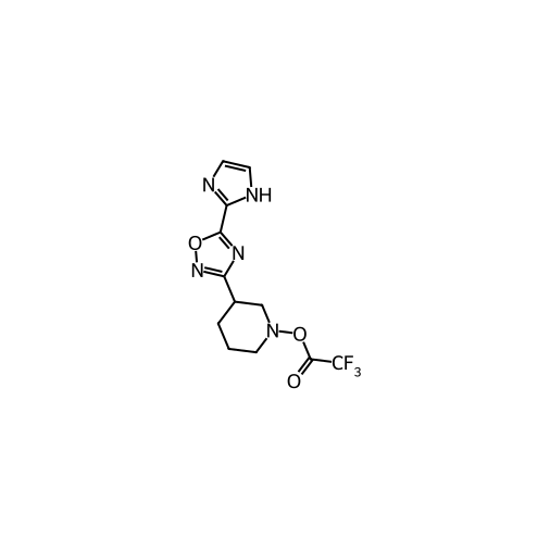 O=C(ON1CCCC(c2noc(-c3ncc[nH]3)n2)C1)C(F)(F)F